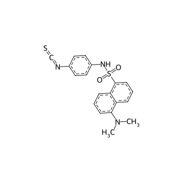 CN(C)c1cccc2c(S(=O)(=O)Nc3ccc(N=C=S)cc3)cccc12